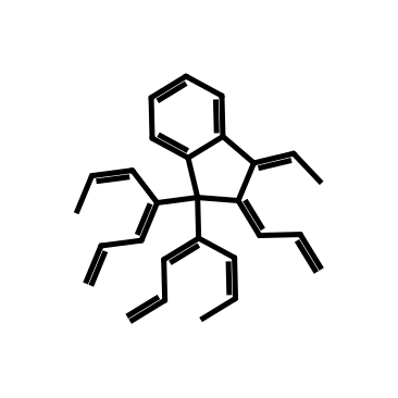 C=C/C=C(\C=C/C)C1(C(/C=C\C)=C/C=C)C(=C/C=C)/C(=C\C)c2ccccc21